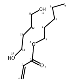 C=CC(=O)OCCCCC.OCCCCO